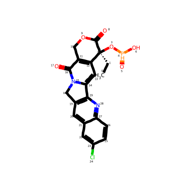 CC[C@@]1(O[PH](=O)O)C(=O)OCc2c1cc1n(c2=O)Cc2cc3cc(Cl)ccc3nc2-1